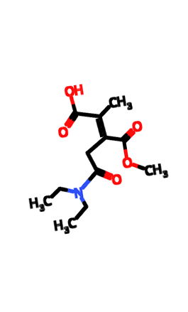 CCN(CC)C(=O)C/C(C(=O)OC)=C(/C)C(=O)O